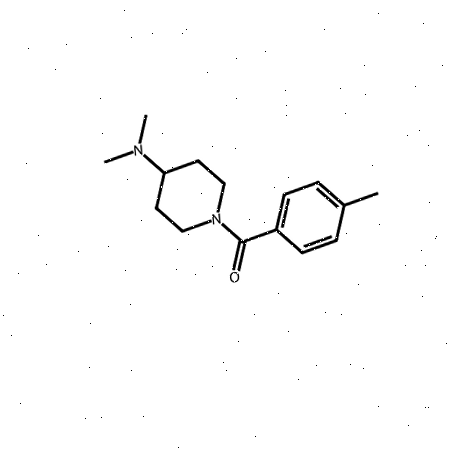 Cc1ccc(C(=O)N2CCC(N(C)C)CC2)cc1